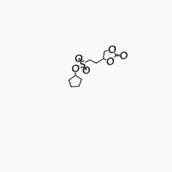 O=C1OCC(CCS(=O)(=O)OC2CCCC2)O1